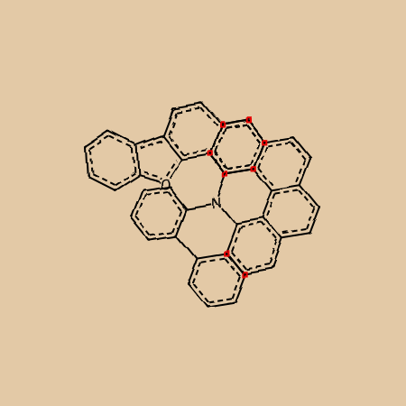 c1ccc(-c2ccccc2N(c2cccc3ccc4c5ccccc5oc4c23)c2cccc3ccc4ccc5ccccc5c4c23)cc1